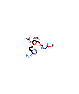 CCC(=O)O[C@H]1[C@H](c2ccc3c(N)ncnn23)O[C@](C#N)(COCN[C@@H](C)C(=O)OC(C)C)[C@H]1OC(C)=O